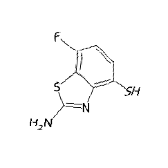 Nc1nc2c(S)ccc(F)c2s1